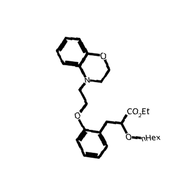 CCCCCCOC(Cc1ccccc1OCCN1CCOc2ccccc21)C(=O)OCC